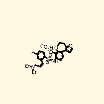 CCN(CC)C/C=C\c1cc(F)ccc1S(=O)(=O)Nc1ccc2c(c1OC(=O)O)OCCc1occc1-2